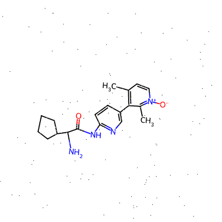 Cc1cc[n+]([O-])c(C)c1-c1ccc(NC(=O)C(N)C2CCCC2)nc1